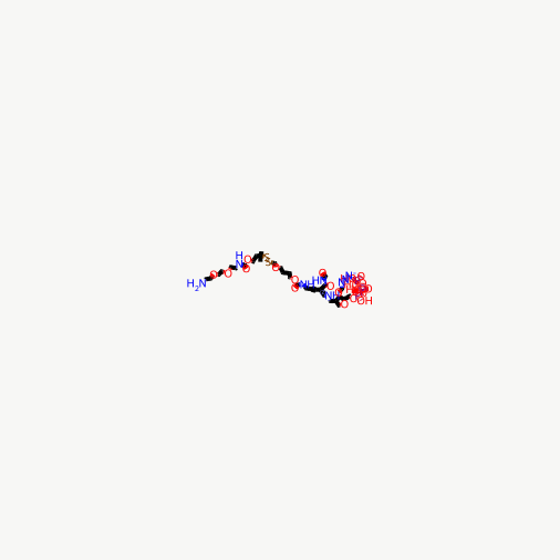 CC(C)(CCOC(=O)NCCOCCOCCN)SSCOCCCCOC(=O)NCC#C/C(=C/NCC1COC(COP(=O)(O)OP(=O)(O)OP(=O)(O)O)C1OCN=[N+]=[N-])C(=O)NC=O